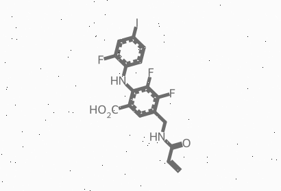 C=CC(=O)NCc1cc(C(=O)O)c(Nc2ccc(I)cc2F)c(F)c1F